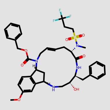 COc1ccc2c(c1)[C@H]1C[C@@H]2N(C(=O)OCc2ccccc2)C/C=C/C[C@H](N(C)S(=O)(=O)CCC(F)(F)F)C(=O)N[C@@H](Cc2ccccc2)[C@H](O)CN1